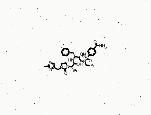 Cc1nc(CN2CCN([C@@H](C(C)C)C(O)N[C@@H](Cc3ccccc3)[C@H](O)CN(CC(C)C)S(=O)(=O)c3ccc(C(N)=O)cc3)C2=O)cs1